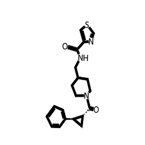 O=C(NCC1CCN(C(=O)[C@@H]2C[C@H]2c2ccccc2)CC1)c1cscn1